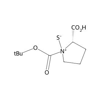 CC(C)(C)OC(=O)[N+]1([S-])CCC[C@H]1C(=O)O